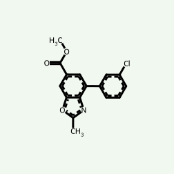 COC(=O)c1cc(-c2cccc(Cl)c2)c2nc(C)oc2c1